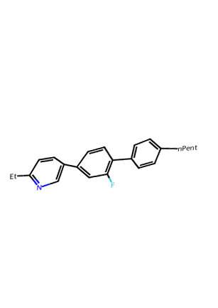 CCCCCc1ccc(-c2ccc(-c3ccc(CC)nc3)cc2F)cc1